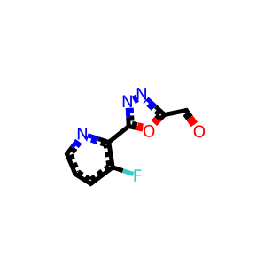 O=Cc1nnc(-c2ncccc2F)o1